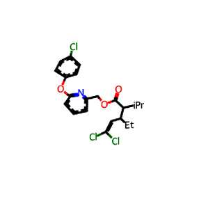 CCC(C=C(Cl)Cl)C(C(=O)OCc1cccc(Oc2ccc(Cl)cc2)n1)C(C)C